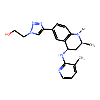 CC(=O)N1c2ccc(-c3cn(CCO)nn3)cc2[C@H](Nc2ncccc2C)C[C@@H]1C